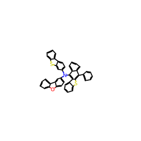 c1ccc(-c2c3ccccc3c(N(c3ccc4c(c3)sc3ccccc34)c3ccc4oc5ccccc5c4c3)c3c2sc2ccccc23)cc1